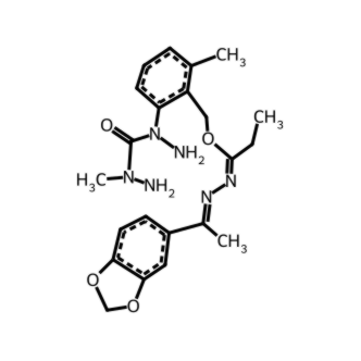 CC/C(=N/N=C(C)c1ccc2c(c1)OCO2)OCc1c(C)cccc1N(N)C(=O)N(C)N